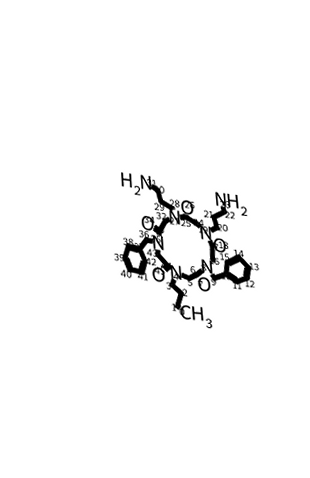 CCCCN1CC(=O)N(Cc2ccccc2)CC(=O)N(CCCN)CC(=O)N(CCCN)CC(=O)N(Cc2ccccc2)CC1=O